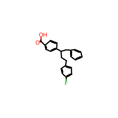 O=C(O)c1ccc(C(CCc2ccc(F)cc2)Cc2ccccc2)cc1